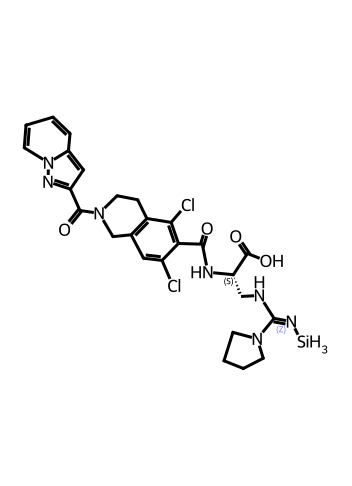 O=C(N[C@@H](CN/C(=N/[SiH3])N1CCCC1)C(=O)O)c1c(Cl)cc2c(c1Cl)CCN(C(=O)c1cc3ccccn3n1)C2